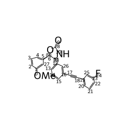 COc1cccc([C@H]2OC(=O)N[C@@H]2c2cccc(C#Cc3cccc(F)c3)c2)c1